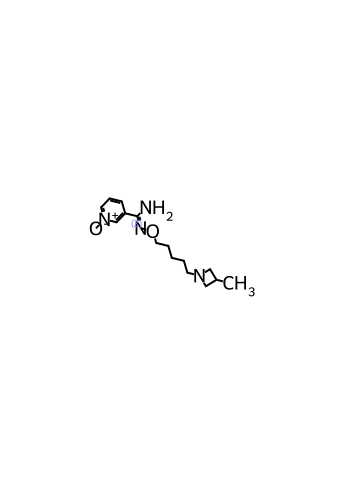 CC1CN(CCCCCO/N=C(\N)c2ccc[n+]([O-])c2)C1